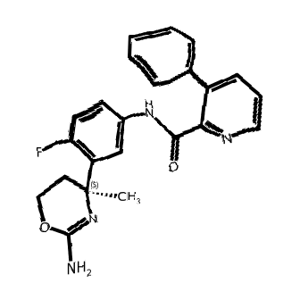 C[C@@]1(c2cc(NC(=O)c3ncccc3-c3ccccc3)ccc2F)CCOC(N)=N1